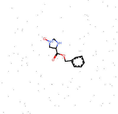 O=C(OCc1ccccc1)C1C[NH+]([O-])CN1